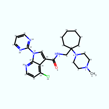 CN1CCN(C2(CNC(=O)c3cn(-c4ncccn4)c4nccc(Cl)c34)CCCCCC2)CC1